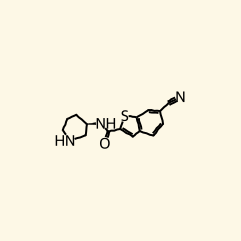 N#Cc1ccc2cc(C(=O)N[C@@H]3CCCNC3)sc2c1